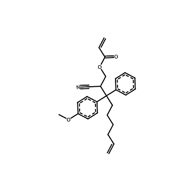 C=CCCCCC(c1ccccc1)(c1ccc(OC)cc1)C(C#N)COC(=O)C=C